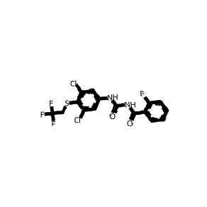 O=C(NC(=O)c1ccccc1F)Nc1cc(Cl)c(SCC(F)(F)F)c(Cl)c1